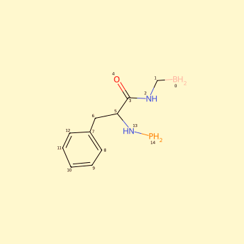 BCNC(=O)C(Cc1ccccc1)NP